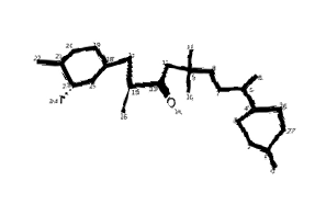 CC1CCC(C(C)CCC(C)(C)CC(=O)[C@@H](C)CC2CCC(C)[C@@H](I)C2)CC1